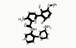 CCCOc1ccc(F)c(-c2ccc(N)c(C(=O)Nc3cnccc3N3CCC[C@H](N)C3)n2)c1F